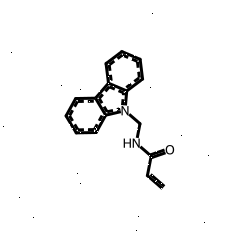 C=CC(=O)NCn1c2ccccc2c2ccccc21